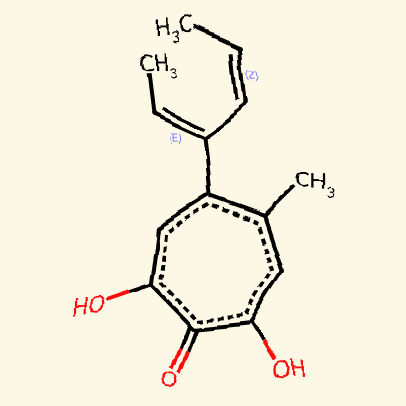 C/C=C\C(=C/C)c1cc(O)c(=O)c(O)cc1C